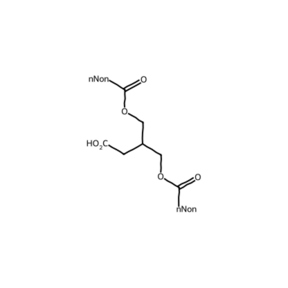 CCCCCCCCCC(=O)OCC(COC(=O)CCCCCCCCC)CC(=O)O